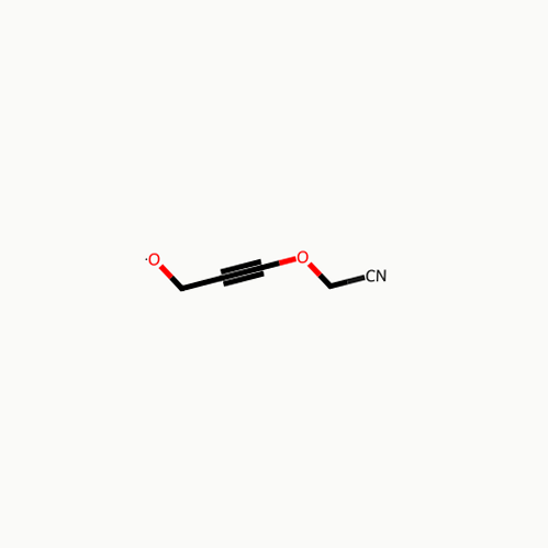 N#CCOC#CC[O]